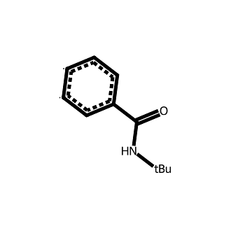 CC(C)(C)NC(=O)c1c[c][c]cc1